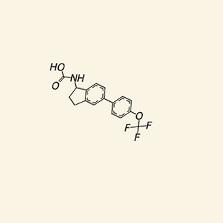 O=C(O)NC1CCc2cc(-c3ccc(OC(F)(F)F)cc3)ccc21